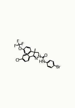 CC1(c2ccc(OC(F)(F)F)cc2)CN(C(=O)Nc2ccc(Br)cc2)N=C1c1ccc(Cl)cc1